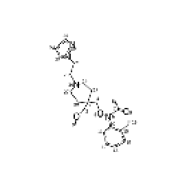 COCC1(CON(C(C)=O)c2ccccc2F)CCN(CCn2cccn2)CC1